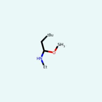 CCNC(CC(C)(C)C)O[SiH3]